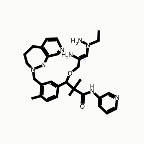 CCN(N)/C=C(\N)COC(c1ccc(C)c(CN2CCCc3ccncc3S2)c1)C(C)(C)C(=O)Nc1cccnc1